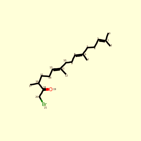 CC(C)=CCC/C(C)=C/CC/C(C)=C/CCC(C)C(=O)CBr